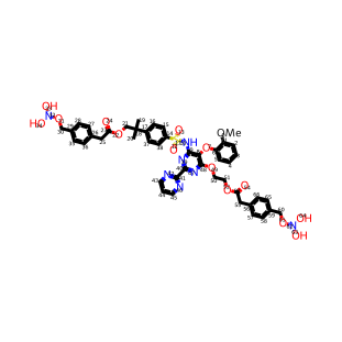 COc1ccccc1Oc1c(NS(=O)(=O)c2ccc(C(C)(C)COC(=O)Cc3ccc(CON(O)O)cc3)cc2)nc(-c2ncccn2)nc1OCCOC(=O)Cc1ccc(CON(O)O)cc1